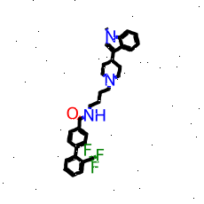 Cn1cc(C2CCN(CCCCNC(=O)c3ccc(-c4ccccc4C(F)(F)F)cc3)CC2)c2ccccc21